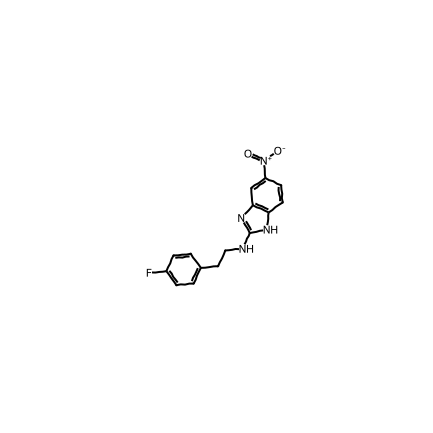 O=[N+]([O-])c1ccc2[nH]c(NCCc3ccc(F)cc3)nc2c1